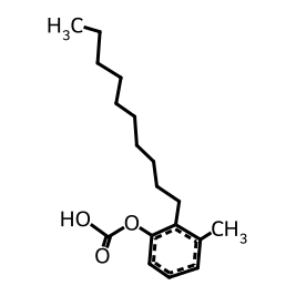 CCCCCCCCCCc1c(C)cccc1OC(=O)O